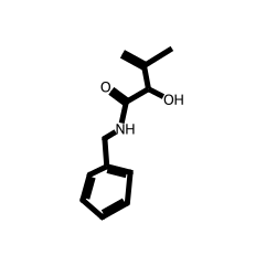 C=C(C)C(O)C(=O)NCc1ccccc1